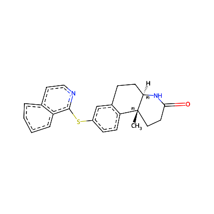 C[C@]12CCC(=O)N[C@@H]1CCc1cc(Sc3nccc4ccccc34)ccc12